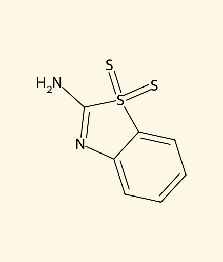 NC1=Nc2ccccc2S1(=S)=S